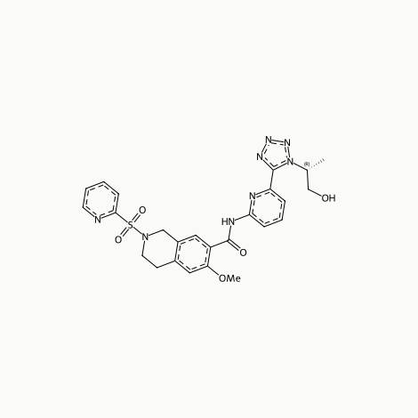 COc1cc2c(cc1C(=O)Nc1cccc(-c3nnnn3[C@H](C)CO)n1)CN(S(=O)(=O)c1ccccn1)CC2